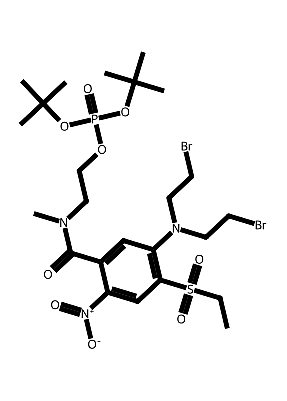 CCS(=O)(=O)c1cc([N+](=O)[O-])c(C(=O)N(C)CCOP(=O)(OC(C)(C)C)OC(C)(C)C)cc1N(CCBr)CCBr